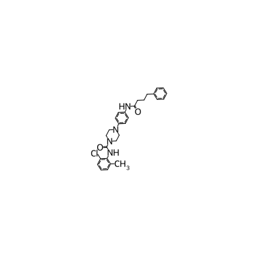 Cc1cccc(Cl)c1NC(=O)N1CCN(c2ccc(NC(=O)CCCc3ccccc3)cc2)CC1